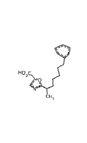 CC(CCCCCc1ccccc1)c1ncc(C(=O)O)o1